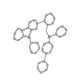 c1ccc(-c2ccc(N(Cc3ccccc3-c3ccc4c5ccccc5n(-c5ccccc5)c4c3)c3ccccc3)cc2)cc1